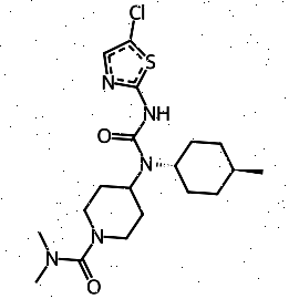 CN(C)C(=O)N1CCC(N(C(=O)Nc2ncc(Cl)s2)[C@H]2CC[C@H](C)CC2)CC1